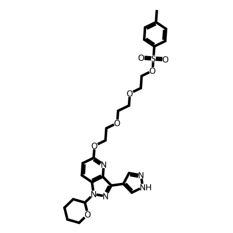 Cc1ccc(S(=O)(=O)OCCOCCOCCOc2ccc3c(n2)c(-c2cn[nH]c2)nn3C2CCCCO2)cc1